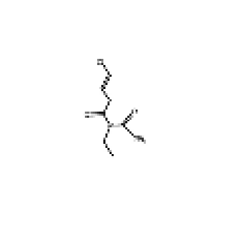 CCN(C(N)=O)C(=O)C/C=C/Cl